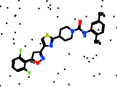 Cc1ccc(C)c(NC(=O)N2CCC(c3nc(C4=NO[C@@H](c5c(F)cccc5F)C4)cs3)CC2)c1